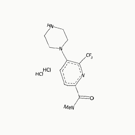 CNC(=O)c1ccc(N2CCNCC2)c(C(F)(F)F)n1.Cl.Cl